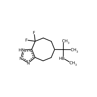 CBC(C)(C)C1CCc2nn[nH]c2C(F)(F)CC1